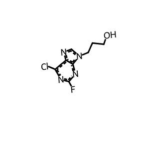 OCCCn1cnc2c(Cl)nc(F)nc21